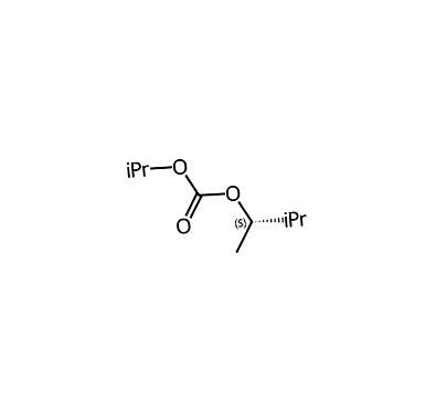 CC(C)OC(=O)O[C@@H](C)C(C)C